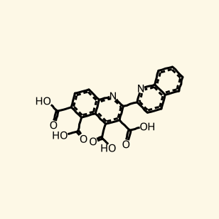 O=C(O)c1ccc2nc(-c3ccc4ccccc4n3)c(C(=O)O)c(C(=O)O)c2c1C(=O)O